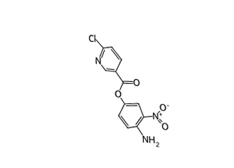 Nc1ccc(OC(=O)c2ccc(Cl)nc2)cc1[N+](=O)[O-]